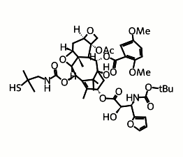 COc1ccc(OC)c(C(=O)O[C@H]2[C@@H]3[C@]4(OC(C)=O)CO[C@@H]4C[C@H]4O[C@@H]([C@H](OC(=O)NCC(C)(C)S)C5=C(C)[C@@H](OC(=O)[C@H](O)[C@@H](NC(=O)OC(C)(C)C)c6ccco6)C[C@]2(O)C5(C)C)[C@@]34C)c1